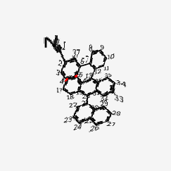 N#Cc1cccc(-c2ccccc2-c2c3ccccc3c(-c3cccc4ccccc34)c3ccccc23)c1